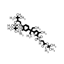 CCC(CC)(c1ccc(OCC(O[Si](C)(C)C(C)(C)C)C(C)(C)C)c(C)c1)c1cc(C)c(S(=O)(=O)NCC(=O)OC(C)(C)C)s1